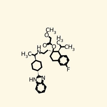 COCC(=O)O[C@]1(CCNC(C)[C@H]2CC[C@H](c3nc4ccccc4[nH]3)CC2)CCc2cc(F)ccc2[C@@H]1C(C)C